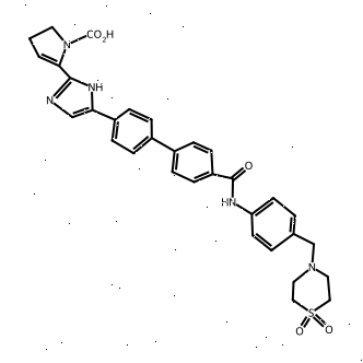 O=C(Nc1ccc(CN2CCS(=O)(=O)CC2)cc1)c1ccc(-c2ccc(-c3cnc(C4=CCCN4C(=O)O)[nH]3)cc2)cc1